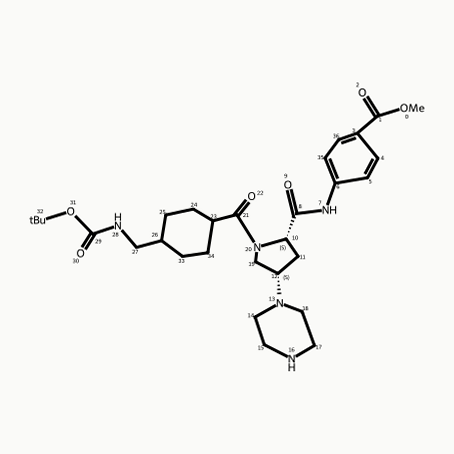 COC(=O)c1ccc(NC(=O)[C@@H]2C[C@H](N3CCNCC3)CN2C(=O)C2CCC(CNC(=O)OC(C)(C)C)CC2)cc1